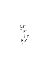 [Cs+].[F-].[F-].[Rb+]